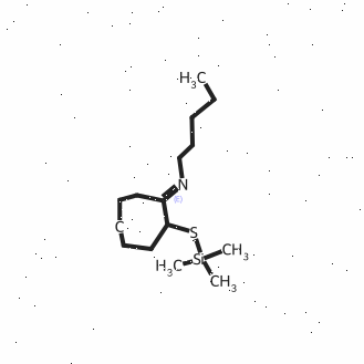 CCCCC/N=C1\CCCCCC1S[Si](C)(C)C